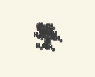 C=Cc1cnc(Nc2cc(CC)c(N3CCC(N(C)C)CC3)cc2OC)nc1Nc1ccc2nccnc2c1CNC